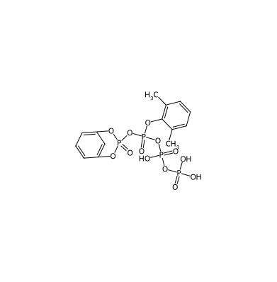 Cc1cccc(C)c1OP(=O)(OP(=O)(O)OP(=O)(O)O)OP1(=O)Oc2cccc(c2)O1